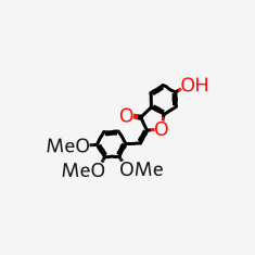 COc1ccc(C=C2Oc3cc(O)ccc3C2=O)c(OC)c1OC